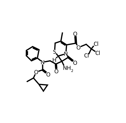 CC1=C(C(=O)OCC(Cl)(Cl)Cl)N2C(=O)C(N)(C(=O)CN(C(=O)OC(C)C3CC3)c3ccccc3)[C@@H]2SC1